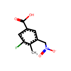 Cc1c(F)cc(C(=O)O)cc1C[N+](=O)[O-]